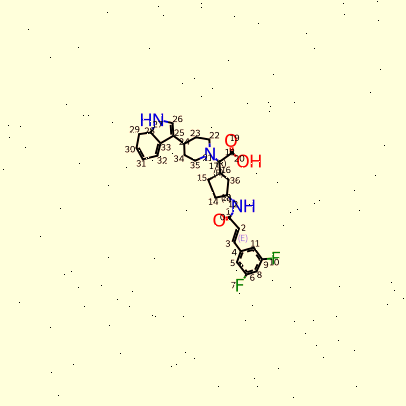 O=C(/C=C/c1cc(F)cc(F)c1)N[C@H]1CC[C@@H]([C@H](C(=O)O)N2CCC(C3=CNC4CC=CC=C34)CC2)C1